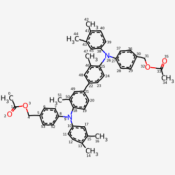 CC(=O)OCc1ccc(N(c2ccc(C)c(C)c2)c2ccc(-c3ccc(N(c4ccc(COC(C)=O)cc4)c4ccc(C)c(C)c4)c(C)c3)cc2C)cc1